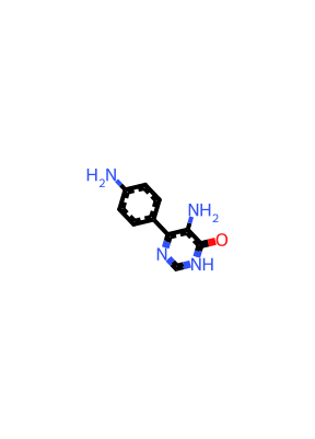 Nc1ccc(-c2nc[nH]c(=O)c2N)cc1